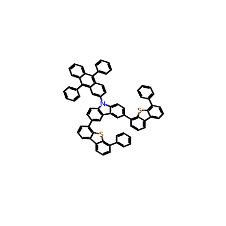 c1ccc(-c2c3ccccc3c(-c3ccccc3)c3cc(-n4c5ccc(-c6cccc7c6sc6c(-c8ccccc8)cccc67)cc5c5cc(-c6cccc7c6sc6c(-c8ccccc8)cccc67)ccc54)ccc23)cc1